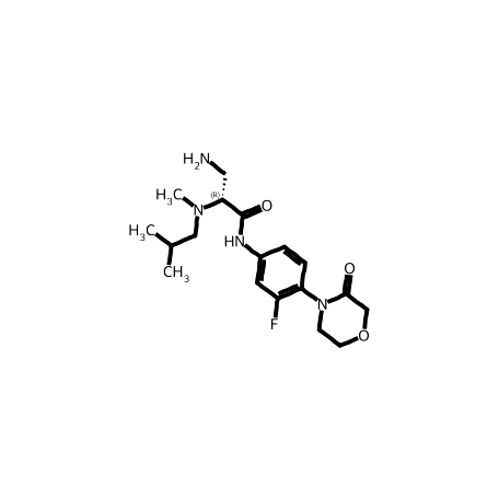 CC(C)CN(C)[C@H](CN)C(=O)Nc1ccc(N2CCOCC2=O)c(F)c1